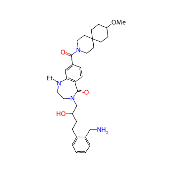 CCN1CCN(CC(O)CCc2ccccc2CN)C(=O)c2ccc(C(=O)N3CCC4(CCC(OC)CC4)CC3)cc21